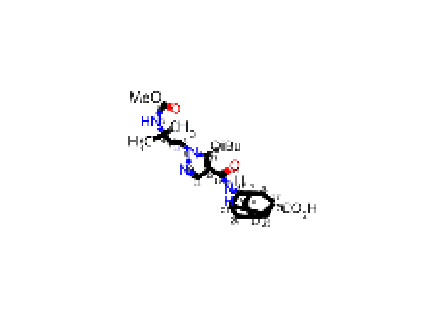 COC(=O)NC(C)(C)/C=C/n1ncc(C(=O)N[C@H]2C3CC4CC2C[C@](C(=O)O)(C4)C3)c1OCC(C)C